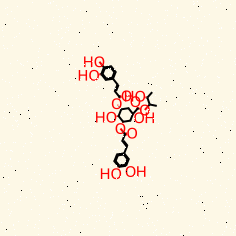 CC(O)C(C)OC(=O)[C@]1(O)C[C@@H](OC(=O)/C=C/c2ccc(O)c(O)c2)[C@@H](O)[C@H](OC(=O)/C=C/c2ccc(O)c(O)c2)C1